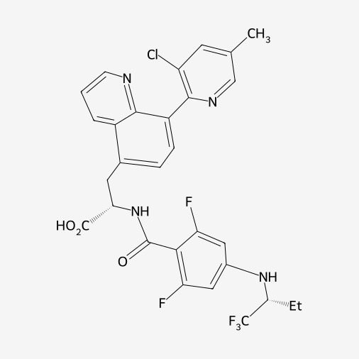 CC[C@@H](Nc1cc(F)c(C(=O)N[C@@H](Cc2ccc(-c3ncc(C)cc3Cl)c3ncccc23)C(=O)O)c(F)c1)C(F)(F)F